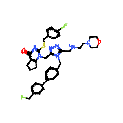 O=c1nc(SCc2ccc(F)cc2)n(Cc2nnc(CNCCN3CCOCC3)n2Cc2ccc(-c3ccc(CF)cc3)cc2)c2c1CCC2